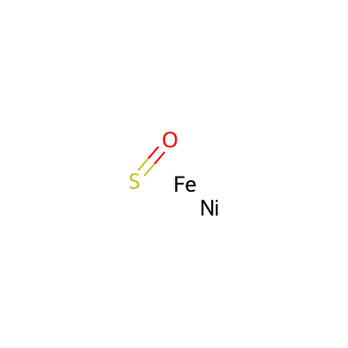 O=S.[Fe].[Ni]